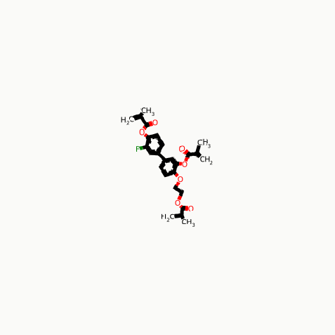 C=C(C)C(=O)OCCOc1ccc(-c2ccc(OC(=O)C(=C)C)c(F)c2)cc1OC(=O)C(=C)C